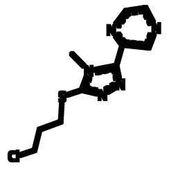 Cn1c(SCCCCl)nnc1-c1cnccn1